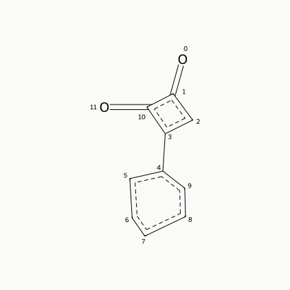 O=c1cc(-c2ccccc2)c1=O